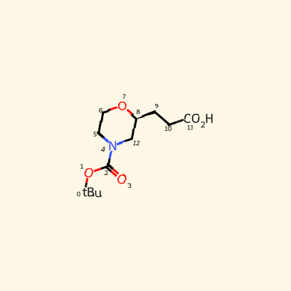 CC(C)(C)OC(=O)N1CCO[C@@H](CCC(=O)O)C1